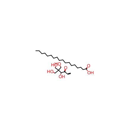 C=CC(=O)C(O)C(CO)(CO)CO.CCCCCCCCCCCCCCCCCC(=O)O